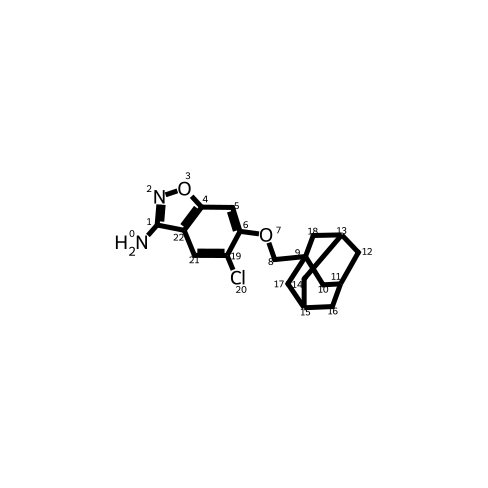 Nc1noc2cc(OCC34CC5CC(CC(C5)C3)C4)c(Cl)cc12